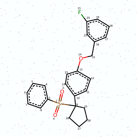 O=S(=O)(c1ccccc1)C1(c2ccc(OCc3cccc(F)c3)cc2)CCCC1